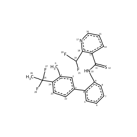 Cc1cc(-c2ccccc2NC(=S)c2cccnc2C(F)F)ccc1C(C)(F)F